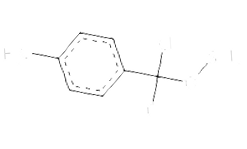 FC(F)(F)c1ccc(C(Cl)(Cl)O[SiH3])cc1